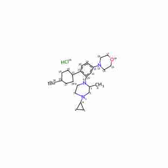 CC1CN(C2CC2)CCN1c1cc(N2CCOCC2)ccc1C1CCC(C(C)(C)C)CC1.Cl